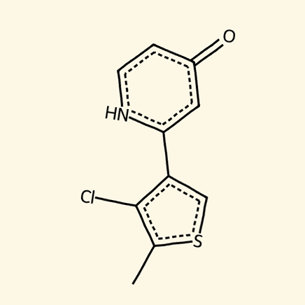 Cc1scc(-c2cc(=O)cc[nH]2)c1Cl